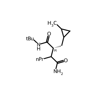 CCCC(C(N)=O)[C@@H](CC1CC1C)C(=O)NC(C)(C)C